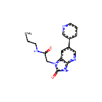 COCCNC(=O)Cn1c(=O)[nH]c2ncc(-c3cccnc3)cc21